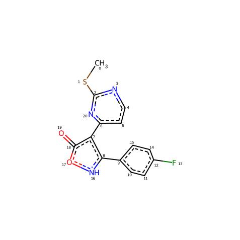 CSc1nccc(-c2c(-c3ccc(F)cc3)[nH]oc2=O)n1